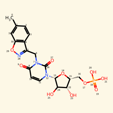 Cc1ccc2c(Cn3c(=O)ccn([C@@H]4O[C@H](COP(=O)(O)O)[C@H](O)C4O)c3=O)noc2c1